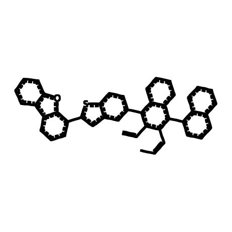 C=Cc1c(/C=C\C)c(-c2cccc3ccccc23)c2ccccc2c1-c1ccc2sc(-c3cccc4c3oc3ccccc34)cc2c1